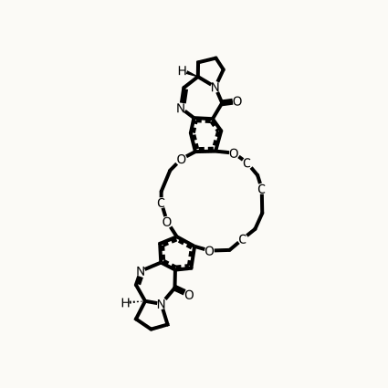 O=C1c2cc3c(cc2N=C[C@@H]2CCCN12)OCCCOc1cc2c(cc1OCCCCCCCO3)C(=O)N1CCC[C@H]1C=N2